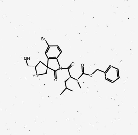 CC(C)C[C@@H](C(=O)N1C(=O)[C@@]2(CN[C@H](CO)C2)c2cc(Br)ccc21)N(C)C(=O)OCc1ccccc1